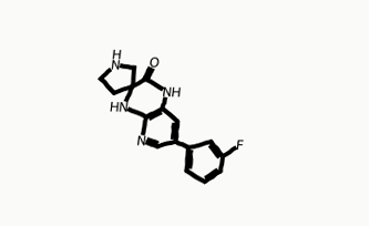 O=C1Nc2cc(-c3cccc(F)c3)cnc2NC12CCNC2